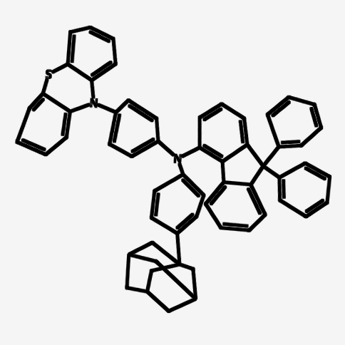 c1ccc(C2(c3ccccc3)c3ccccc3-c3c(N(c4ccc(N5c6ccccc6Sc6ccccc65)cc4)c4ccc(C56CC7CC(CC(C7)C5)C6)cc4)cccc32)cc1